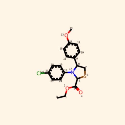 CCOC(=O)C1SCC(c2ccc(OC)cc2)N1c1ccc(Cl)cc1